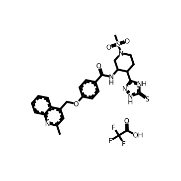 Cc1cc(COc2ccc(C(=O)NC3CN(S(C)(=O)=O)CCC3c3n[nH]c(=S)[nH]3)cc2)c2ccccc2n1.O=C(O)C(F)(F)F